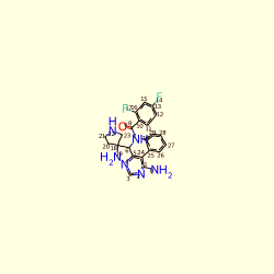 Nc1ncnc(C(NC(=O)c2ccc(F)cc2F)C2(N)CCNC2)c1-c1ccccc1